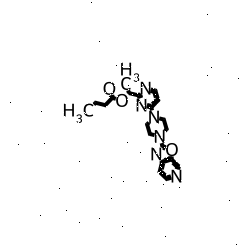 CCCC(=O)OC(C)c1nccc(N2CCN(c3nc4ccncc4o3)CC2)n1